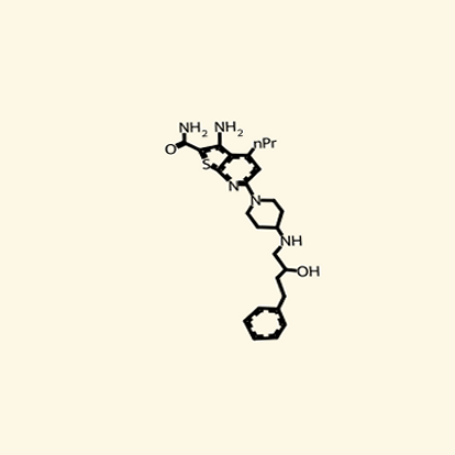 CCCc1cc(N2CCC(NCC(O)CCc3ccccc3)CC2)nc2sc(C(N)=O)c(N)c12